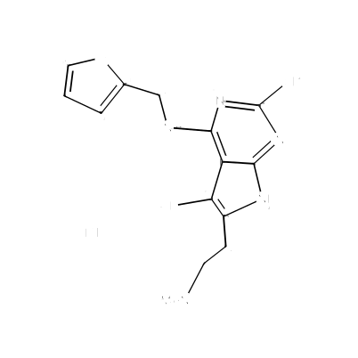 CNCCc1[nH]c2nc(Cl)nc(NCc3ccco3)c2c1F.Cl